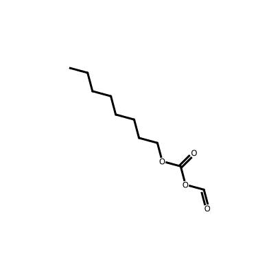 CCCCCCCCOC(=O)OC=O